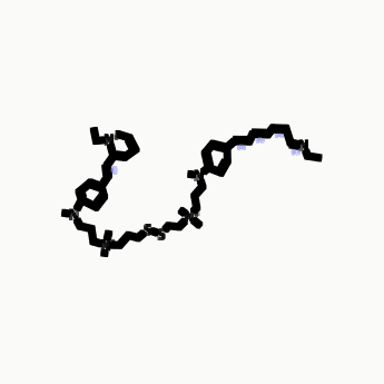 CC/N=C/C=C\C=C\C=C\c1ccc(N(C)CCC[N+](C)(C)CCSSCCC[N+](C)(C)CCCN(C)c2ccc(/C=C/c3cccc[n+]3CC)cc2)cc1